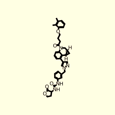 Cc1cccc(OCCCC(=O)N2C[C@@H]3C[C@@H]3c3c(-c4cnn(Cc5cccc(NC(=O)NC6CCOC6=O)c5)c4)cccc32)c1C